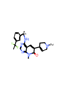 CC(=O)N1CC=C(c2cc3c(N[C@H](C)c4cccc(C(C)(F)F)c4)ncnc3n(C)c2=O)CC1